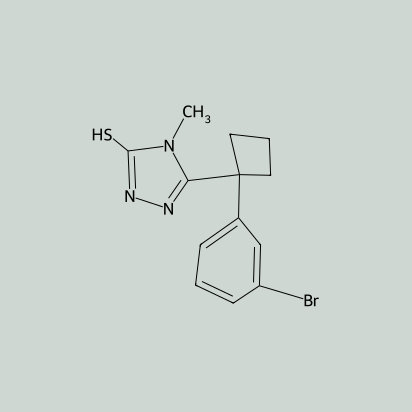 Cn1c(S)nnc1C1(c2cccc(Br)c2)CCC1